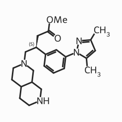 COC(=O)C[C@H](CN1CCC2CCNCC2C1)c1cccc(-n2nc(C)cc2C)c1